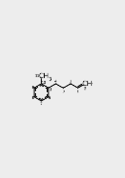 [CH]=CCCCc1ccccc1C